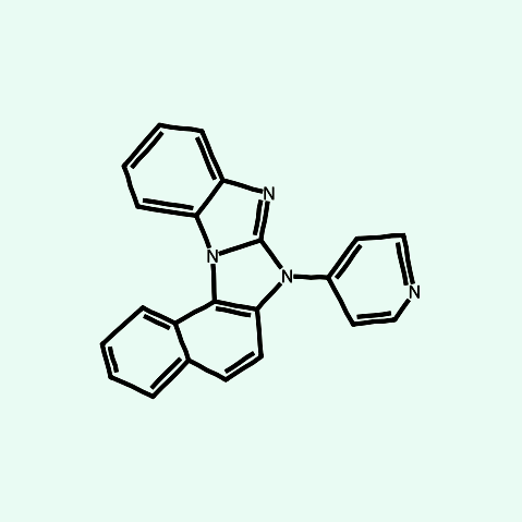 c1ccc2c(c1)ccc1c2n2c3ccccc3nc2n1-c1ccncc1